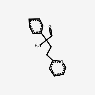 NC(C=O)(CCc1ccccn1)c1ccccc1